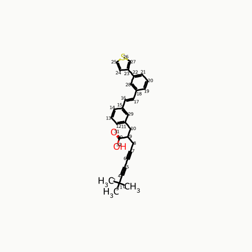 CC(C)(C)C#CC#CCC(Cc1cccc(C=Cc2cccc(-c3ccsc3)c2)c1)C(=O)O